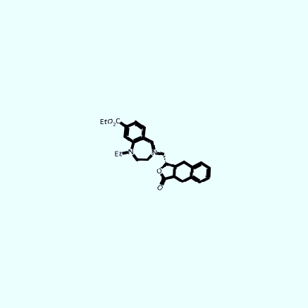 CCOC(=O)c1ccc2c(c1)N(CC)CCN(C[C@H]1OC(=O)C3Cc4ccccc4CC31)C2